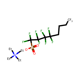 CC[N+](CC)(CC)CC.O=S(=O)([O-])C(F)(F)C(F)(F)C(F)(F)C(F)(F)CCCC(F)(F)F